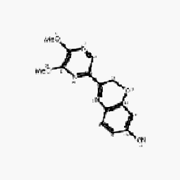 COc1ncc(C2=Nc3ccc(C#N)cc3OC2)nc1OC